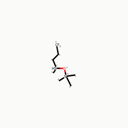 C[SiH](CCC(F)(F)F)O[Si](C)(C)C